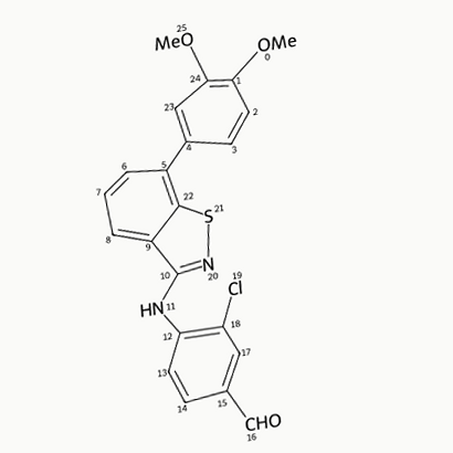 COc1ccc(-c2cccc3c(Nc4ccc(C=O)cc4Cl)nsc23)cc1OC